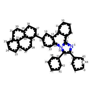 c1ccc(-c2nc3c4ccccc4c4cc(-c5ccc6ccc7cccc8ccc5c6c78)ccc4n3c2-c2ccccc2)cc1